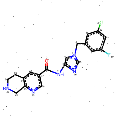 O=C(Nc1cn(Cc2cc(F)cc(Cl)c2)cn1)c1cnc2c(c1)CCNC2